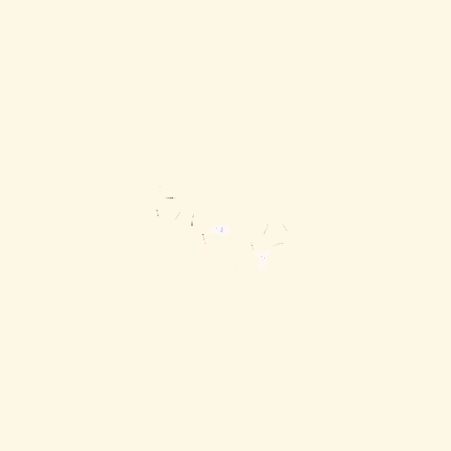 Cc1[nH]c2c(F)ccc(C)c2c1CCNC(=O)c1cc2cc(Br)ccc2s1